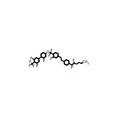 C=CCC/C(F)=C(\F)c1ccc(CCc2ccc(C(F)(F)Oc3ccc(-c4cc(F)c(C(F)(F)F)c(F)c4)c(F)c3)c(F)c2)cc1